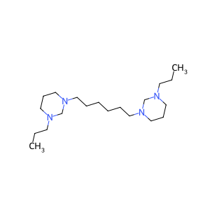 CCCN1CCCN(CCCCCCN2CCCN(CCC)C2)C1